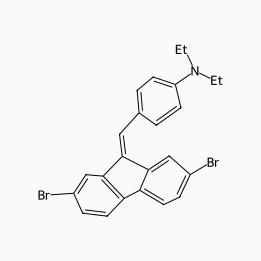 CCN(CC)c1ccc(C=C2c3cc(Br)ccc3-c3ccc(Br)cc32)cc1